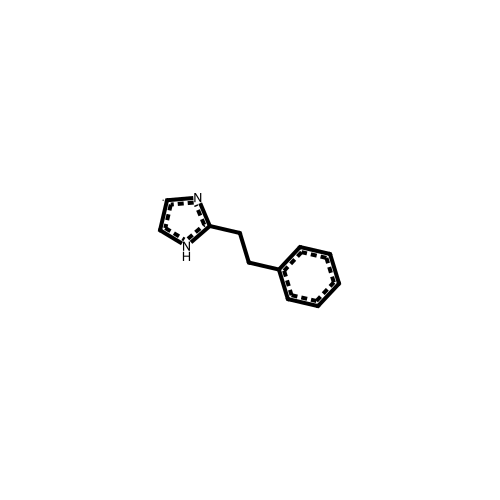 [c]1c[nH]c(CCc2ccccc2)n1